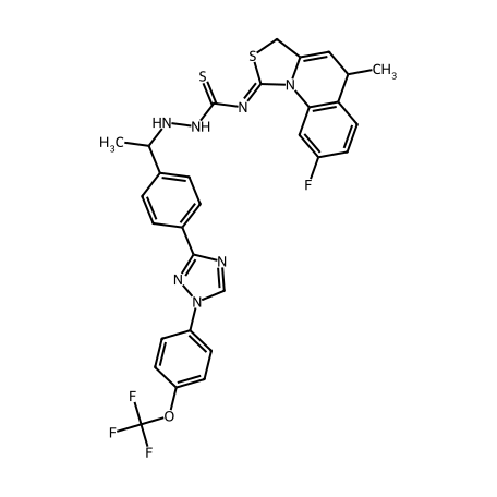 CC1C=C2CS/C(=N\C(=S)NNC(C)c3ccc(-c4ncn(-c5ccc(OC(F)(F)F)cc5)n4)cc3)N2c2cc(F)ccc21